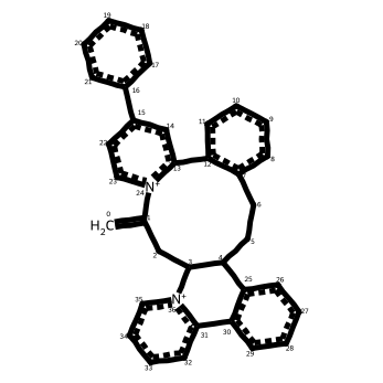 C=C1CC2C(CCc3ccccc3-c3cc(-c4ccccc4)cc[n+]31)c1ccccc1-c1cccc[n+]12